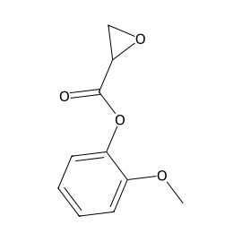 COc1ccccc1OC(=O)C1CO1